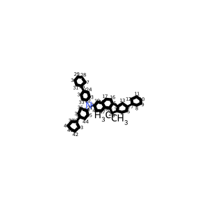 CC1(C)c2ccc(-c3ccccc3)cc2-c2ccc3cc(N(c4ccc(-c5ccccc5)cc4)c4ccc(-c5ccccc5)cc4)ccc3c21